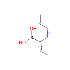 C=C/C=C\C(=C/C)B(O)O